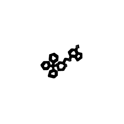 Clc1ccc(OCC2CN(C(c3ccccc3)(c3ccccc3)c3ccccc3)CCO2)c2c1CCC2